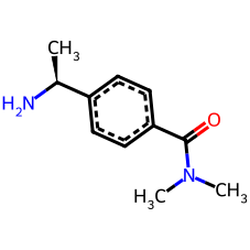 C[C@H](N)c1ccc(C(=O)N(C)C)cc1